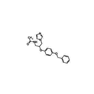 CC(=O)NCC(Cn1ccnc1)Oc1ccc(OCc2ccccc2)cc1